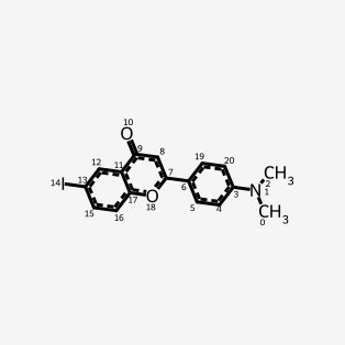 CN(C)c1ccc(-c2cc(=O)c3cc(I)ccc3o2)cc1